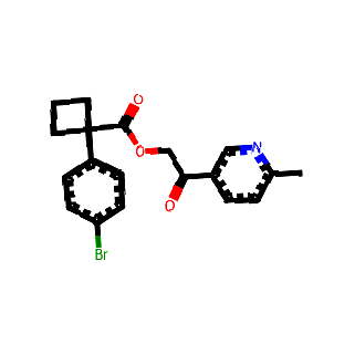 Cc1ccc(C(=O)COC(=O)C2(c3ccc(Br)cc3)CCC2)cn1